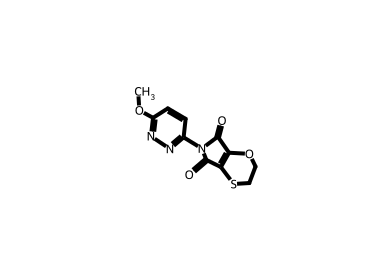 COc1ccc(N2C(=O)C3=C(SCCO3)C2=O)nn1